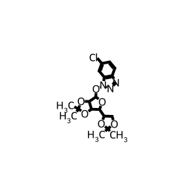 CC1(C)OCC(C2OC(On3nnc4ccc(Cl)cc43)C3OC(C)(C)OC23)O1